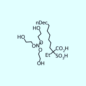 CCCCCCCCCCCCCCCCC(CC)(C(=O)O)S(=O)(=O)O.OCCON(OCCO)OCCO